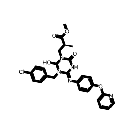 COC(=O)[C@@H](C)CN1C(=O)N/C(=N\c2ccc(Oc3ccccn3)cc2)N(Cc2ccc(Cl)cc2)C1O